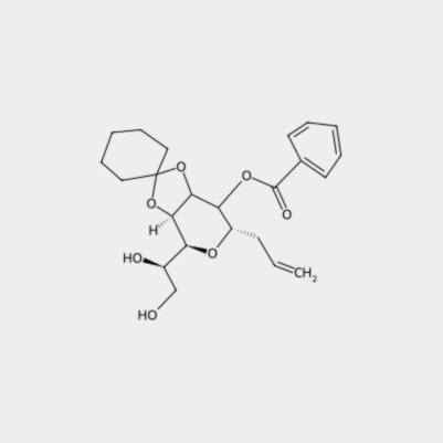 C=CC[C@@H]1O[C@@H]([C@H](O)CO)[C@H]2OC3(CCCCC3)OC2C1OC(=O)c1ccccc1